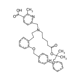 Cc1nc(CN(CCCCC(=O)OC(C)(C)C)CCc2ccccc2OCc2ccc(-c3ccccc3)cc2)ccc1C(=O)O